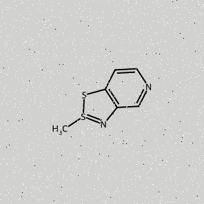 CS1=Nc2cnccc2S1